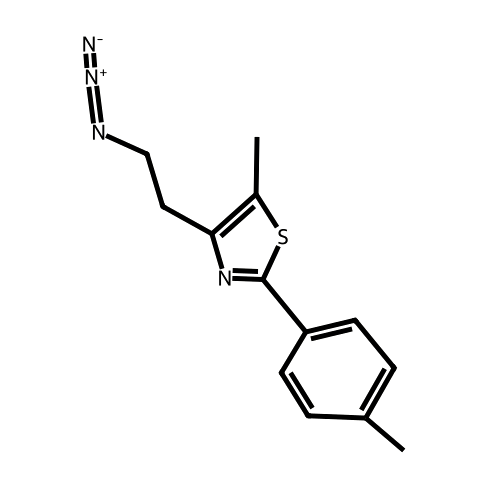 Cc1ccc(-c2nc(CCN=[N+]=[N-])c(C)s2)cc1